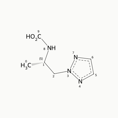 C[C@@H](Cn1nccn1)NC(=O)O